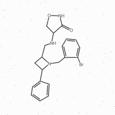 O=C1NOCC1NCC1CC(c2ccccc2)N1Cc1ccccc1Br